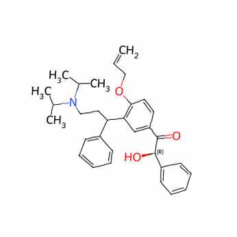 C=CCOc1ccc(C(=O)[C@H](O)c2ccccc2)cc1C(CCN(C(C)C)C(C)C)c1ccccc1